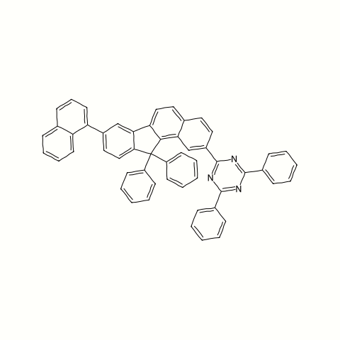 c1ccc(-c2nc(-c3ccccc3)nc(-c3ccc4ccc5c(c4c3)C(c3ccccc3)(c3ccccc3)c3ccc(-c4cccc6ccccc46)cc3-5)n2)cc1